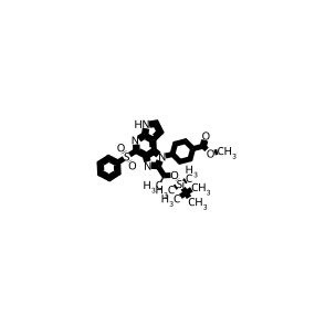 COC(=O)C1CCC(n2c([C@@H](C)O[Si](C)(C)C(C)(C)C)nc3c(S(=O)(=O)c4ccccc4)nc4[nH]ccc4c32)CC1